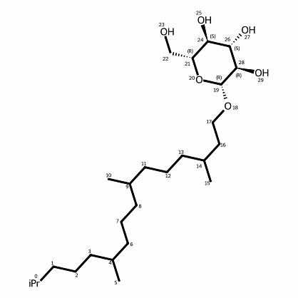 CC(C)CCCC(C)CCCC(C)CCCC(C)CCO[C@@H]1O[C@H](CO)[C@@H](O)[C@H](O)[C@H]1O